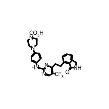 O=C1NCc2cccc(CCc3nc(Nc4ccc(N5CCN(C(=O)O)CC5)cc4)ncc3C(F)(F)F)c21